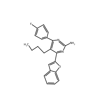 CCCCc1c(-c2ccc(F)cc2)nc(N)nc1-c1cc2ccccc2s1